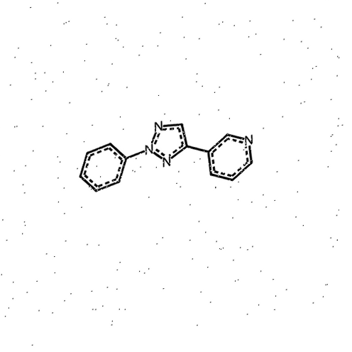 c1ccc(-n2ncc(-c3cccnc3)n2)cc1